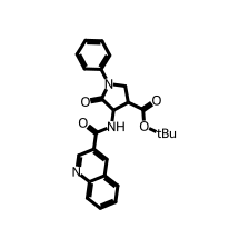 CC(C)(C)OC(=O)C1CN(c2ccccc2)C(=O)C1NC(=O)c1cnc2ccccc2c1